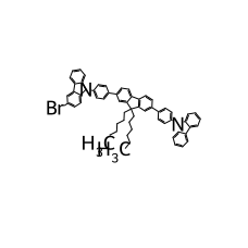 CCCCCCC1(CCCCCC)c2cc(-c3ccc(-n4c5ccccc5c5ccccc54)cc3)ccc2-c2ccc(-c3ccc(-n4c5ccccc5c5cc(Br)ccc54)cc3)cc21